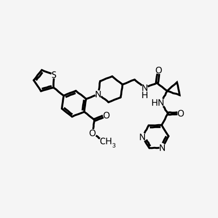 COC(=O)c1ccc(-c2cccs2)cc1N1CCC(CNC(=O)C2(NC(=O)c3cncnc3)CC2)CC1